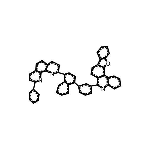 c1ccc(-c2ccc3ccc4ccc(-c5ccc(-c6cccc(-c7nc8ccccc8c8c7ccc7c9ccccc9oc78)c6)c6ccccc56)nc4c3n2)cc1